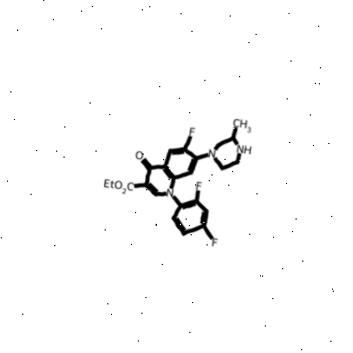 CCOC(=O)c1cn(-c2ccc(F)cc2F)c2cc(N3CCNC(C)C3)c(F)cc2c1=O